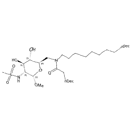 CCCCCCCCCCCCCCCCCCN(C[C@H]1O[C@H](OC)[C@H](NS(C)(=O)=O)[C@@H](O)[C@@H]1O)C(=O)CCCCCCCCCCC